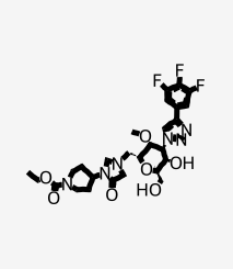 CCOC(=O)N1CCC(N2CN(C[C@H]3O[C@H](CO)[C@H](O)[C@H](n4cc(-c5cc(F)c(F)c(F)c5)nn4)[C@H]3OC)CC2=O)CC1